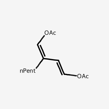 CCCCCC(=C/OC(C)=O)/C=C/OC(C)=O